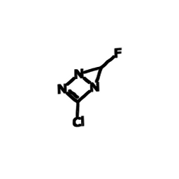 FC1n2nc(Cl)n21